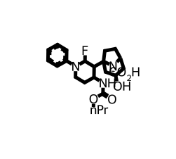 CCCOC(=O)NC1CCN(c2ccccc2)C(F)C1C12CCC(CC(O)C1)N2C(=O)O